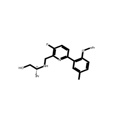 CCCOc1ccc(C)cc1-c1ccc(F)c(CN[C@@H](CO)C(C)C)n1